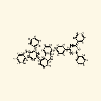 c1ccc(-c2nc(-c3ccccc3)nc(-c3ccc(-c4cccc5c4oc4cccc(-c6nc(-c7ccccc7)c7sc8ccccc8c7n6)c45)cc3)n2)cc1